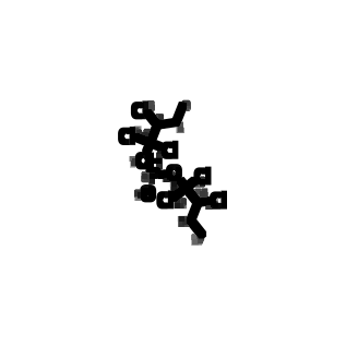 CCC(Cl)C(Cl)(Cl)O[PH](=O)OC(Cl)(Cl)C(Cl)CC